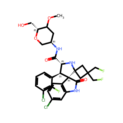 COC1C[C@@H](NC(=O)[C@@H]2NC3(CC(CF)(CF)C3)[C@@]3(C(=O)Nc4cc(Cl)ccc43)[C@H]2c2cccc(Cl)c2F)CO[C@@H]1CO